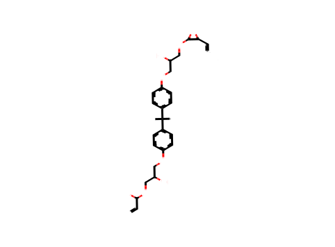 C=CC(O)OCC(O)COc1ccc(C(C)(C)c2ccc(OCC(O)COC3OC3C=C)cc2)cc1